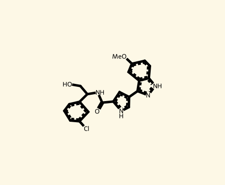 COc1ccc2[nH]nc(-c3c[nH]c(C(=O)NC(CO)c4cccc(Cl)c4)c3)c2c1